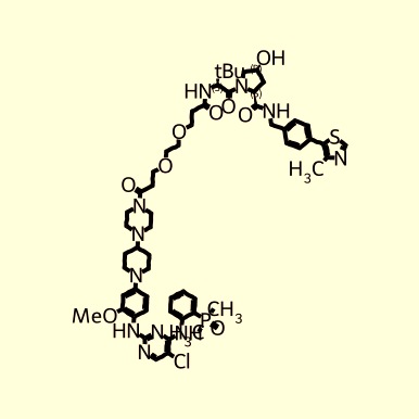 COc1cc(N2CCC(N3CCN(C(=O)CCOCCOCCC(=O)N[C@H](C(=O)N4C[C@H](O)C[C@H]4C(=O)NCc4ccc(-c5scnc5C)cc4)C(C)(C)C)CC3)CC2)ccc1Nc1ncc(Cl)c(Nc2ccccc2P(C)(C)=O)n1